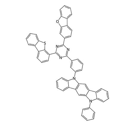 c1ccc(-n2c3ccccc3c3cc4c(cc32)c2ccccc2n4-c2cccc(-c3nc(-c4ccc5c(c4)oc4ccccc45)nc(-c4cccc5c4sc4ccccc45)n3)c2)cc1